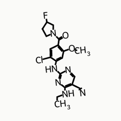 CCNc1nc(Nc2cc(OC)c(C(=O)N3CCC(F)C3)cc2Cl)ncc1C#N